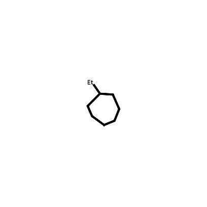 CCC1CC[CH]CCC1